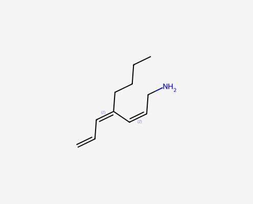 C=C/C=C(\C=C/CN)CCCC